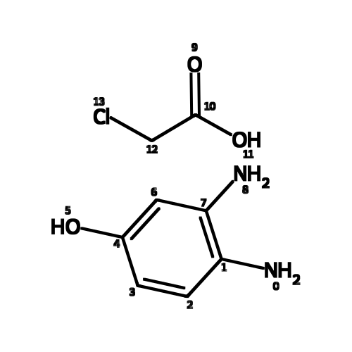 Nc1ccc(O)cc1N.O=C(O)CCl